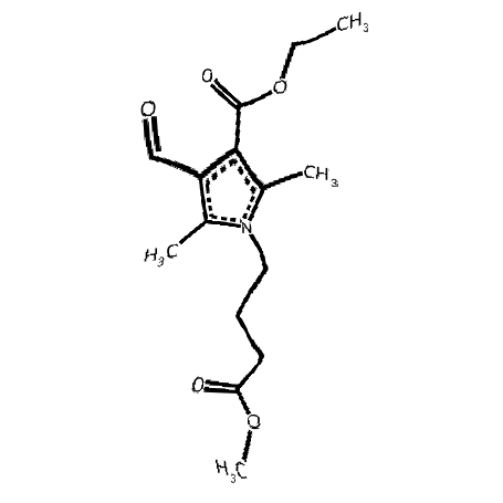 CCOC(=O)c1c(C=O)c(C)n(CCCC(=O)OC)c1C